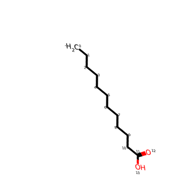 [CH2]CCCCCCCCC[CH]C(=O)O